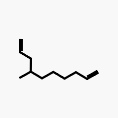 C=CCCCCC(C)CC=C